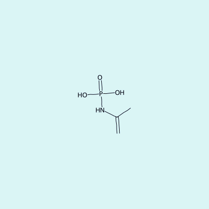 C=C(C)NP(=O)(O)O